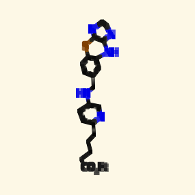 CCOC(=O)CCCCc1ccc(NCc2ccc3c(c2)Nc2nccnc2S3)cn1